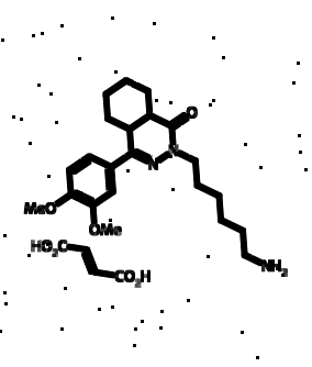 COc1ccc(C2=NN(CCCCCCN)C(=O)C3CCCCC23)cc1OC.O=C(O)C=CC(=O)O